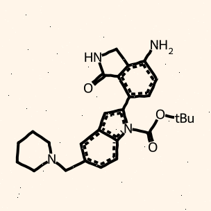 CC(C)(C)OC(=O)n1c(-c2ccc(N)c3c2C(=O)NC3)cc2cc(CN3CCCCC3)ccc21